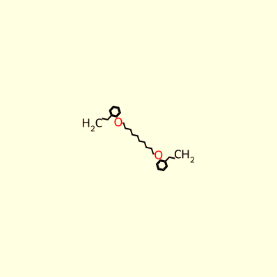 C=CCc1ccccc1OCCCCCCCCCCOc1ccccc1CC=C